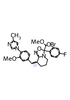 COC(=O)C1(c2ccc(F)cc2Br)ON=C2/C(=C\c3ccc(-n4cnc(C)c4)c(OC)c3)CCCN21